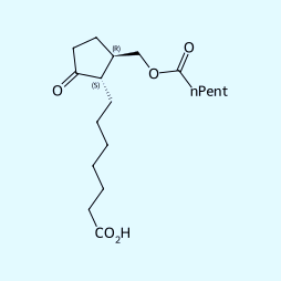 CCCCCC(=O)OC[C@@H]1CCC(=O)[C@H]1CCCCCCC(=O)O